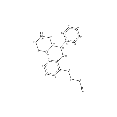 FCCCc1ccccc1OC(c1ccccc1)C1CNCCO1